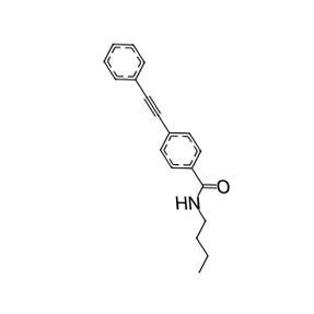 CCCCNC(=O)c1ccc(C#Cc2ccccc2)cc1